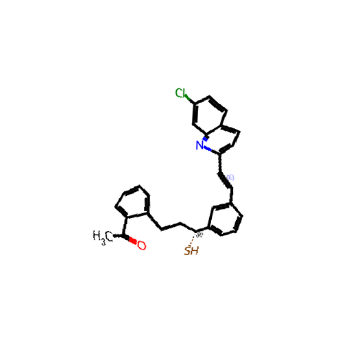 CC(=O)c1ccccc1CC[C@@H](S)c1cccc(/C=C/c2ccc3ccc(Cl)cc3n2)c1